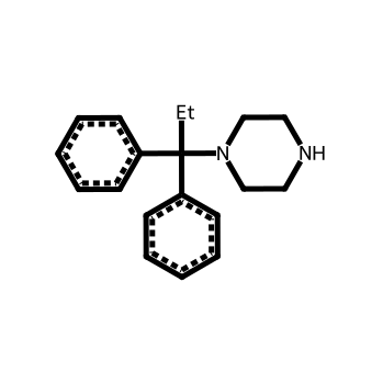 CCC(c1ccccc1)(c1ccccc1)N1CCNCC1